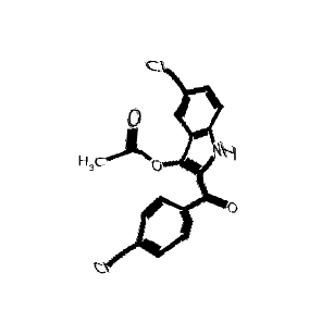 CC(=O)Oc1c(C(=O)c2ccc(Cl)cc2)[nH]c2ccc(Cl)cc12